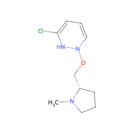 CN1CCC[C@H]1CON1C=CC=C(Cl)N1